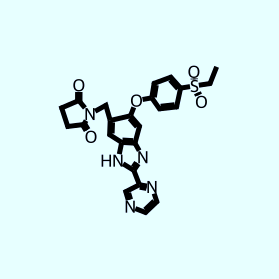 CCS(=O)(=O)c1ccc(Oc2cc3nc(-c4cnccn4)[nH]c3cc2CN2C(=O)CCC2=O)cc1